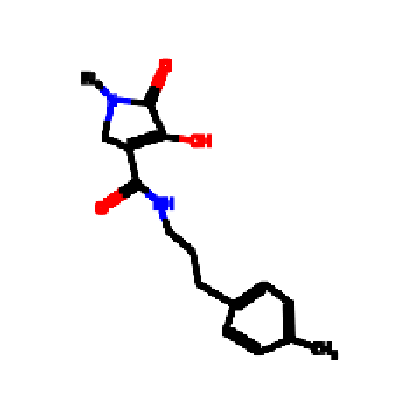 CCN1CC(C(=O)NCCCc2ccc(C)cc2)=C(O)C1=O